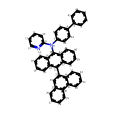 c1ccc(-c2ccc(N(c3ccccn3)c3c4ccccc4c(-c4cc5ccccc5c5ccccc45)c4ccccc34)cc2)cc1